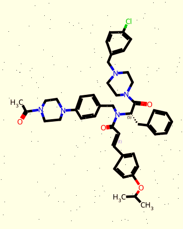 CC(=O)N1CCN(c2ccc(CN(C(=O)/C=C/c3ccc(OC(C)C)cc3)[C@@H](Cc3ccccc3)C(=O)N3CCN(Cc4ccc(Cl)cc4)CC3)cc2)CC1